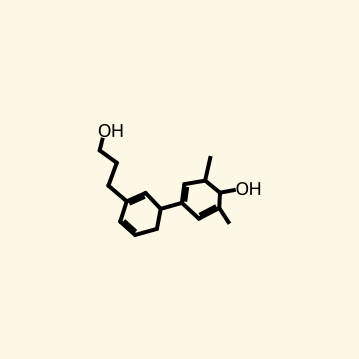 CC1=CC(C2C=C(CCCO)C=CC2)=CC(C)C1O